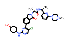 C[C@H](C(=O)N[C@H](C)c1cccc(N2CCN(C)CC2)n1)N1Cc2ccc(-c3nc(NC4CCC(O)CC4)ncc3Cl)cc2C1=O